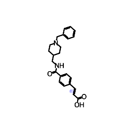 O=C(O)/C=C/c1ccc(C(=O)NCC2CCN(Cc3ccccc3)CC2)cc1